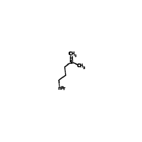 CCCCCC[SiH](C)C